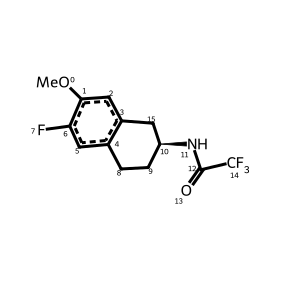 COc1cc2c(cc1F)CC[C@H](NC(=O)C(F)(F)F)C2